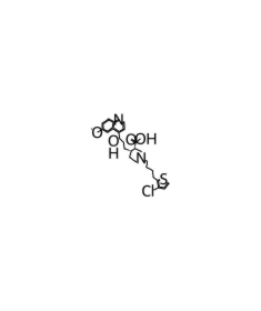 COc1ccc2nccc([C@@H](O)CC[C@@H]3CCN(CCCCc4sccc4Cl)C[C@@H]3C(=O)O)c2c1